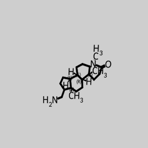 CN1C(=O)CC[C@@]2(C)C1CC[C@@H]1[C@H]2CC[C@]2(C)C(CN)CC[C@@H]12